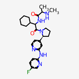 CNC(C)C(=O)NC(C(=O)N1CCC[C@H]1c1ccnc(Nc2ccc(F)cn2)c1)C1CCCCC1